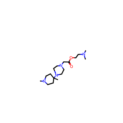 CN(C)CCOC(=O)CN1CCN(C2(C)CCN(C)CC2)CC1